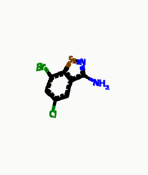 Nc1nsc2c(Br)cc(Cl)cc12